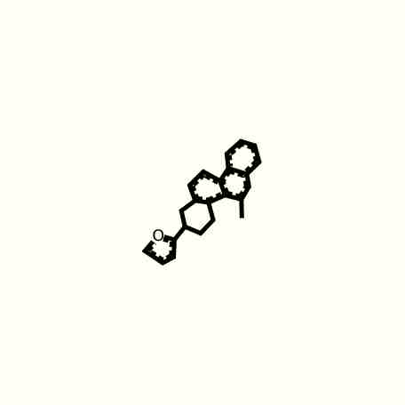 Cc1cc2ccccc2c2ccc3c(c12)CCC(c1ccco1)C3